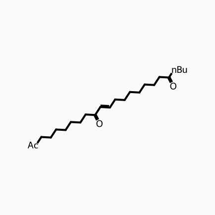 CCCCC(=O)CCCCCCCC=CC(=O)CCCCCCCC(C)=O